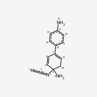 [N-]=[N+]=NC1(N)C=CC(c2ccc(N)cc2)=CC1